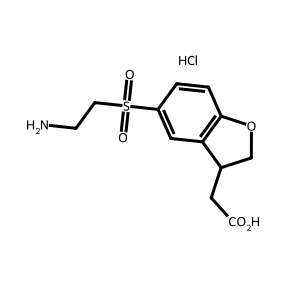 Cl.NCCS(=O)(=O)c1ccc2c(c1)C(CC(=O)O)CO2